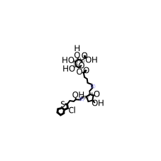 O=C(CCC/C=C\C[C@H]1C(=O)C(O)C[C@@H]1/C=C/C(O)CCc1sc2ccccc2c1Cl)OC1O[C@H](C(=O)O)[C@@H](O)[C@H](O)[C@H]1O